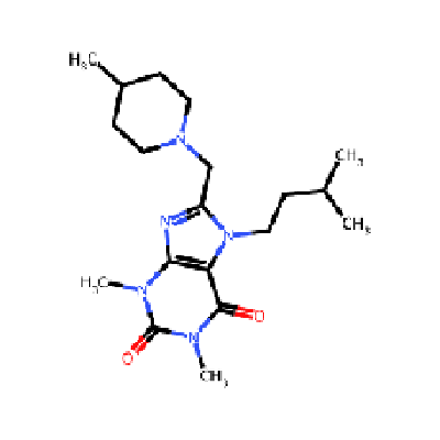 CC(C)CCn1c(CN2CCC(C)CC2)nc2c1c(=O)n(C)c(=O)n2C